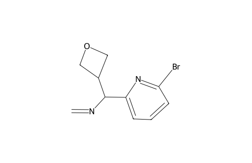 C=NC(c1cccc(Br)n1)C1COC1